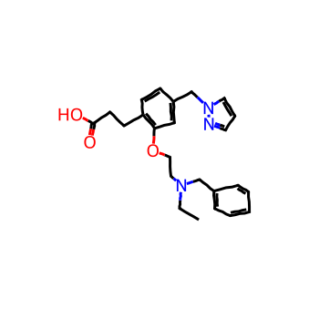 CCN(CCOc1cc(Cn2cccn2)ccc1CCC(=O)O)Cc1ccccc1